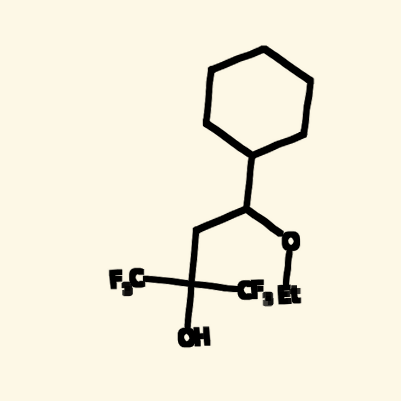 CCOC(CC(O)(C(F)(F)F)C(F)(F)F)C1CCCCC1